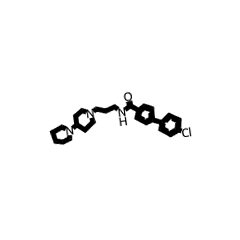 O=C(NCCCN1CCC(N2CCCCC2)CC1)c1ccc(-c2ccc(Cl)cc2)cc1